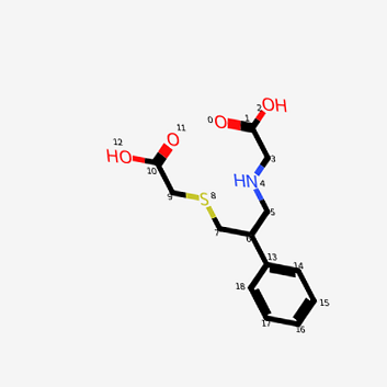 O=C(O)CNCC(CSCC(=O)O)c1ccccc1